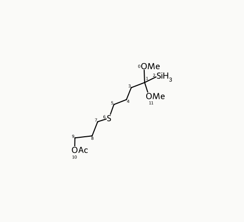 COC([SiH3])(CCCSCCCOC(C)=O)OC